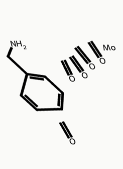 C=O.C=O.C=O.C=O.C=O.NCc1ccccc1.[Mo]